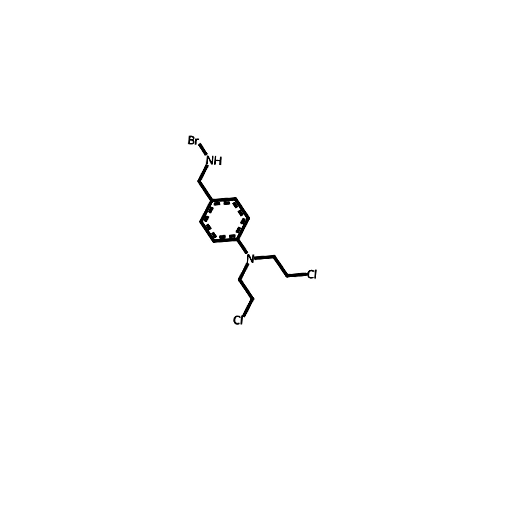 ClCCN(CCCl)c1ccc(CNBr)cc1